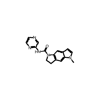 Cn1ccc2cc3c(cc21)CCN3C(=O)Nc1cnccn1